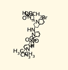 CC(C)(C)c1ccc(C(=O)NS(=O)(=O)c2cccc(NC(CC[C@@H]3CN(C(=O)O)C(C)(C)C3)Cc3ccc(Br)cn3)n2)c(F)n1